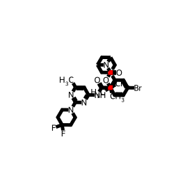 Cc1cc(NC(=O)c2ccc(Br)cc2N2CC3CC(C2)N3C(=O)OC(C)(C)C)nc(N2CCC(F)(F)CC2)n1